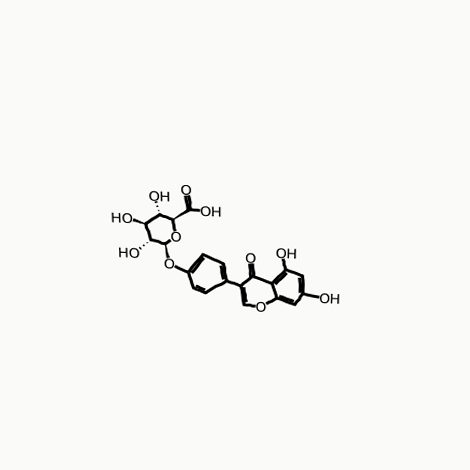 O=C(O)[C@H]1O[C@@H](Oc2ccc(-c3coc4cc(O)cc(O)c4c3=O)cc2)[C@H](O)[C@@H](O)[C@@H]1O